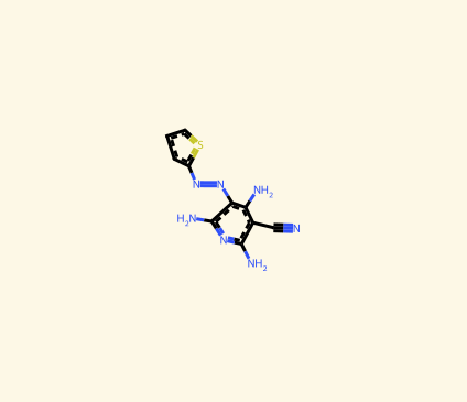 N#Cc1c(N)nc(N)c(/N=N/c2cccs2)c1N